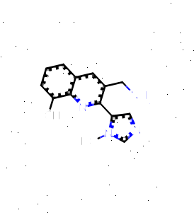 Cc1cccc2cc(CN)c(-c3cncn3C)nc12